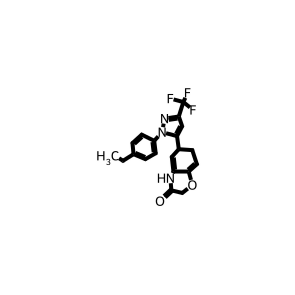 CCc1ccc(-n2nc(C(F)(F)F)cc2C2C=C3NC(=O)COC3=CC2)cc1